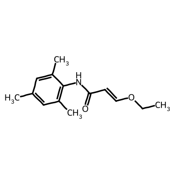 CCO/C=C/C(=O)Nc1c(C)cc(C)cc1C